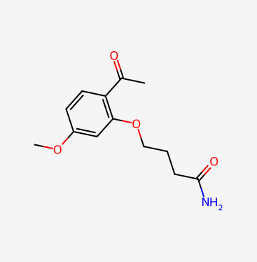 COc1ccc(C(C)=O)c(OCCCC(N)=O)c1